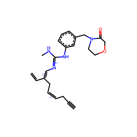 C#CC/C=C\C/C(C=C)=C\N=C(/NC)Nc1cccc(CN2CCOCC2=O)c1